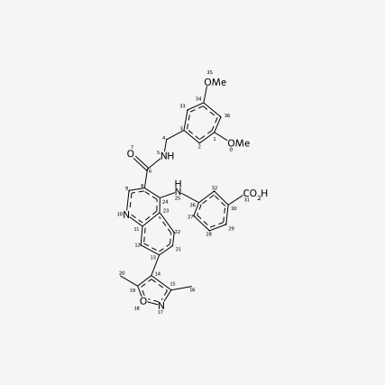 COc1cc(CNC(=O)c2cnc3cc(-c4c(C)noc4C)ccc3c2Nc2cccc(C(=O)O)c2)cc(OC)c1